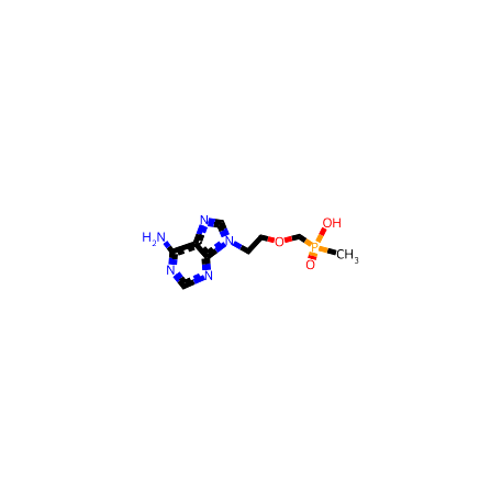 CP(=O)(O)COCCn1cnc2c(N)ncnc21